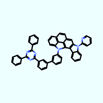 c1ccc(-c2nc(-c3ccccc3)nc(-c3cccc(-c4cccc(-n5c6cccc7ccc8cc9c(c%10ccccc%10n9-c9ccccn9)c5c8c76)c4)c3)n2)cc1